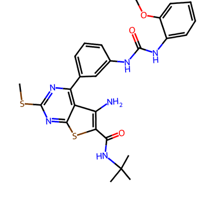 COc1ccccc1NC(=O)Nc1cccc(-c2nc(SC)nc3sc(C(=O)NC(C)(C)C)c(N)c23)c1